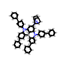 c1ccc(-c2ccc(N3c4ccc(-c5ccccc5)cc4B4c5cc(-c6ccccc6)ccc5N(c5ccc(-c6ccccc6)cc5)c5cc(N6CC7CC8CC7CC6C8)cc3c54)cc2)cc1